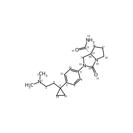 CN(C)CCC1(c2ccc(N3C[C@@]4(C(N)=O)[CH]CCN4C3=O)cc2)CC1